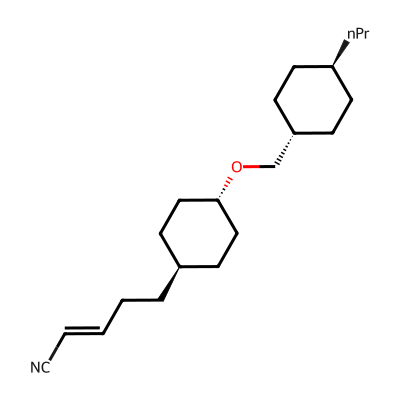 CCC[C@H]1CC[C@H](CO[C@H]2CC[C@H](CCC=CC#N)CC2)CC1